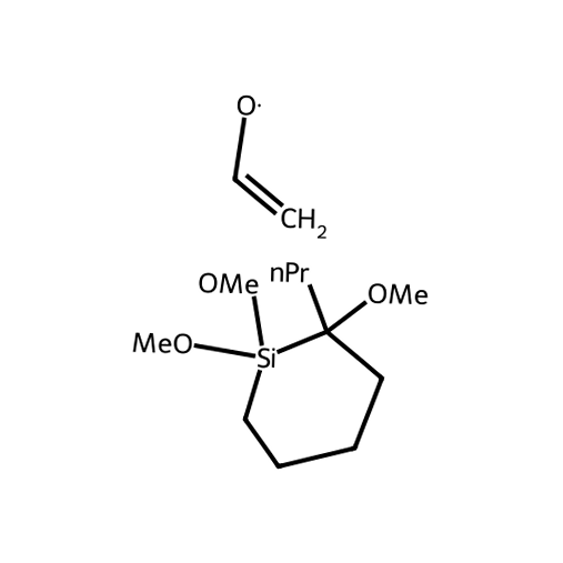 C=C[O].CCCC1(OC)CCCC[Si]1(OC)OC